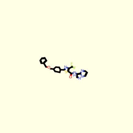 O=C(Nc1cnn2cccnc12)c1sc(C2CCC(COCc3ccccc3)CC2)nc1C(F)F